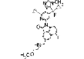 COCCNCc1cc2c3c(ccc(F)c3c1)N(c1cc(C(F)(c3nncn3C)C3CC3)cc(C3CC3)n1)C2=O